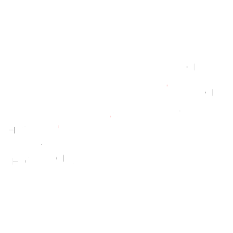 CC(C)(C)OCCOCCOC(C)(C)C